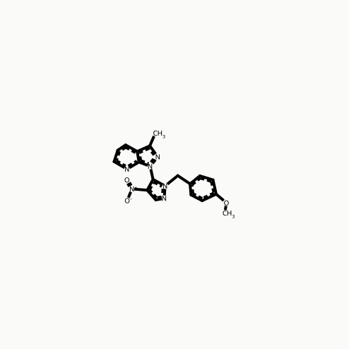 COc1ccc(Cn2ncc([N+](=O)[O-])c2-n2nc(C)c3cccnc32)cc1